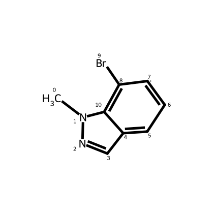 Cn1ncc2cc[c]c(Br)c21